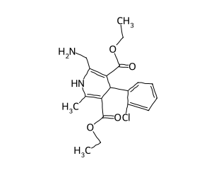 CCOC(=O)C1=C(C)NC(CN)=C(C(=O)OCC)C1c1ccccc1Cl